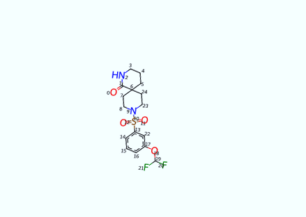 O=C1NCCCC12CCN(S(=O)(=O)c1cccc(OC(F)F)c1)CC2